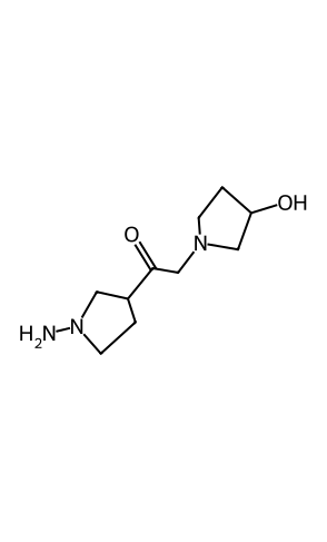 NN1CCC(C(=O)CN2CCC(O)C2)C1